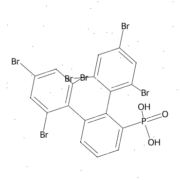 O=P(O)(O)c1cccc(-c2c(Br)cc(Br)cc2Br)c1-c1c(Br)cc(Br)cc1Br